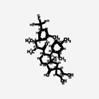 Cc1cc([C@@H](C)N(C)C(=O)N2CCN3C(=O)C(CCO)(CCO)C[C@H]3[C@@H]2c2ccc(C)cc2C)cc(C(F)(F)F)c1